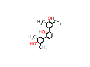 Cc1cc(-c2c[c]cc(-c3cc(C)c(O)c(C)c3)c2O)cc(C)c1O